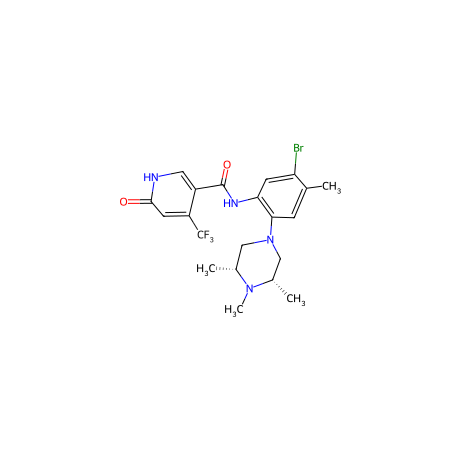 Cc1cc(N2C[C@@H](C)N(C)[C@@H](C)C2)c(NC(=O)c2c[nH]c(=O)cc2C(F)(F)F)cc1Br